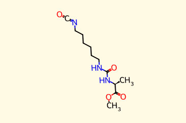 COC(=O)[C@H](C)NC(=O)NCCCCCCN=C=O